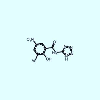 CC(=O)c1cc([N+](=O)[O-])cc(C(=O)Nc2nnn[nH]2)c1O